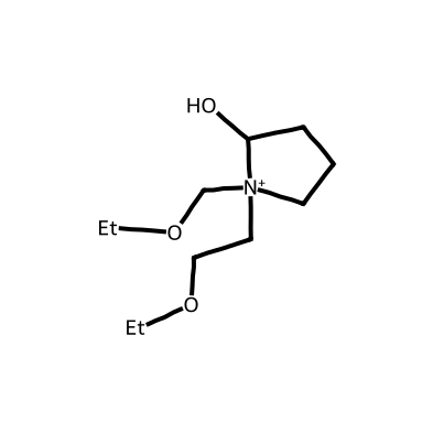 CCOCC[N+]1(COCC)CCCC1O